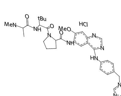 CNC(C)C(=O)NC(C(=O)N1CCCC1C(=O)Nc1cc2c(Nc3ccc(Cn4ccnc4)cc3)ncnc2cc1OC)C(C)(C)C.Cl